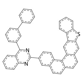 c1ccc(-c2cccc(-c3nc(-c4ccc5c(ccc6ccc7cc8sc9ccccc9c8cc7c65)c4)nc4ccccc34)c2)cc1